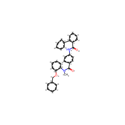 CN(C(=O)c1ccc(NC(=O)c2ccccc2-c2ccccc2)cc1)c1ccccc1OCc1ccccc1